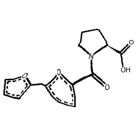 O=C(O)[C@@H]1CCCN1C(=O)c1ccc(-c2ccco2)o1